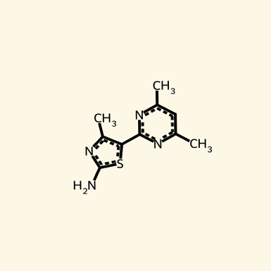 Cc1cc(C)nc(-c2sc(N)nc2C)n1